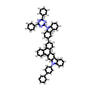 c1ccc(-c2ccc(-n3c4ccccc4c4cc5c6ccc(-c7ccc8c(c7)c7ccccc7n8-c7nc(-c8ccccc8)nc(-c8ccccc8)n7)cc6c6ccccc6c5cc43)cc2)cc1